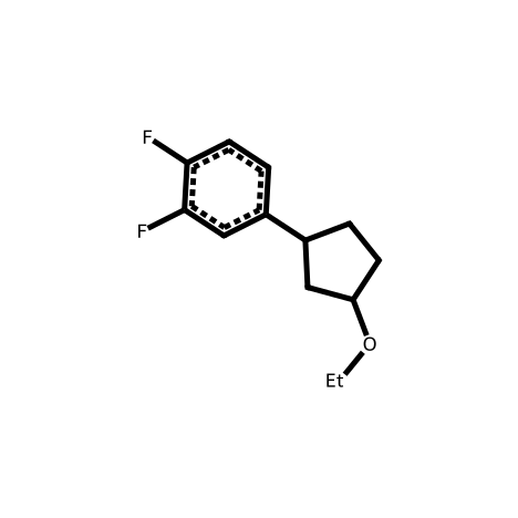 CCOC1CCC(c2ccc(F)c(F)c2)C1